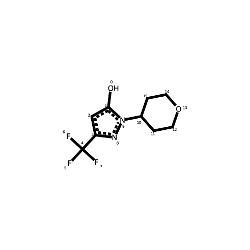 Oc1cc(C(F)(F)F)nn1C1CCOCC1